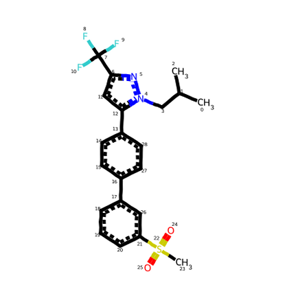 CC(C)Cn1nc(C(F)(F)F)cc1-c1ccc(-c2cccc(S(C)(=O)=O)c2)cc1